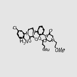 COCCN1CCN(c2cccc(N3CCN(c4cc(Cl)ccc4N)C(=O)C3=O)c2OC(=O)CCC(C)(C)C)C(=O)C1